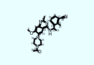 COc1cc2nc(C)nc(NC(C)c3cccc(C#N)c3C)c2cc1N1CCN(C(C)=O)CC1